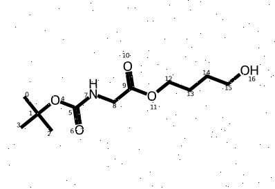 CC(C)(C)OC(=O)NCC(=O)OCCCCO